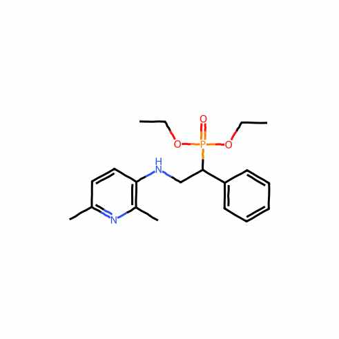 CCOP(=O)(OCC)C(CNc1ccc(C)nc1C)c1ccccc1